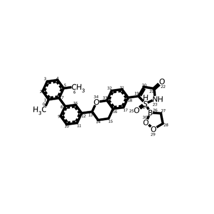 Cc1cccc(C)c1-c1cccc(C2CCc3cc(C4=CC(=O)N[SH]4(=O)B4CCOO4)ccc3O2)c1